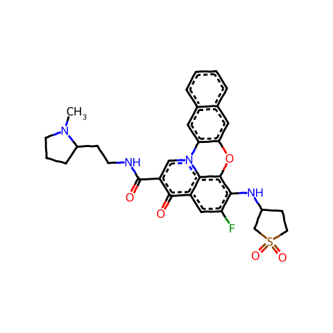 CN1CCCC1CCNC(=O)c1cn2c3c(c(NC4CCS(=O)(=O)C4)c(F)cc3c1=O)Oc1cc3ccccc3cc1-2